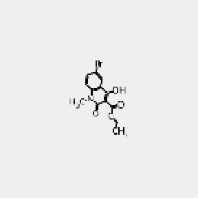 CCOC(=O)c1c(O)c2cc(Br)ccc2n(C)c1=O